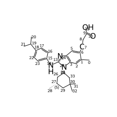 Cc1cc2c(cc1CCC(=O)O)nc(Nc1ccc(C(C)C)cc1)n2[C@H]1C[C@@H](C)CC(C)(C)C1